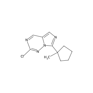 CC1(c2ncc3cnc(Cl)nn23)CCCC1